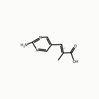 C/C(=C\c1cnc(N)nc1)C(=O)O